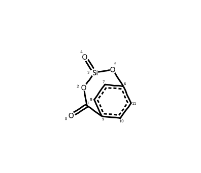 O=C1O[Si](=O)Oc2ccc1cc2